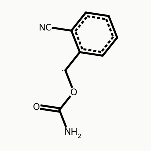 N#Cc1ccccc1[CH]OC(N)=O